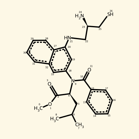 COC(=O)[C@H](CC(C)C)N(C(=O)c1ccccc1)c1cc(NC[C@@H](N)CS)c2ccccc2c1